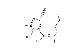 CCCCCC.Cc1cc(C#N)cc(C(=O)O)c1N